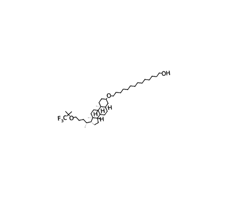 C[C@H](CCCOC(C)(C)C(F)(F)F)[C@H]1CC[C@H]2[C@@H]3CC[C@@H]4C[C@H](OCCCCCCCCCCCCCCO)CC[C@]4(C)[C@H]3CC[C@]12C